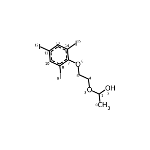 CC(O)OCCOc1c(I)cc(I)cc1I